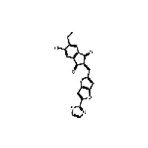 CCc1cc2c(cc1Cl)C(=O)/C(=C\c1cc3oc(-c4nccs4)cc3o1)C2=O